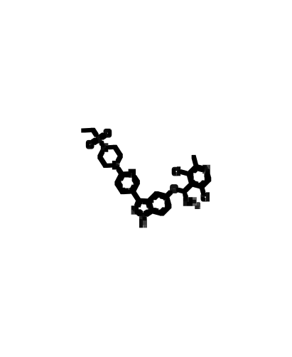 CCS(=O)(=O)N1CCN(c2ccc(-c3n[nH]c4ccc(O[C@H](N)c5c(Cl)cnc(C)c5Cl)cc34)cn2)CC1